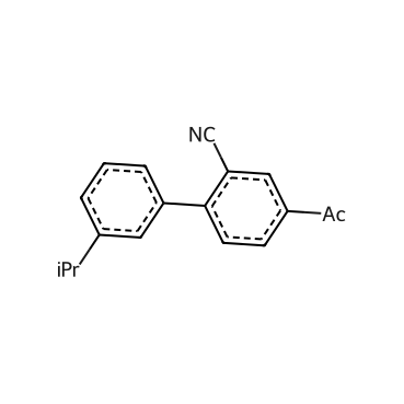 CC(=O)c1ccc(-c2cccc(C(C)C)c2)c(C#N)c1